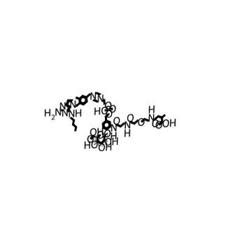 CCCCCNc1nc(N)nc2ccn(Cc3ccc(CN4CCN(CCOP(=O)(O)OCc5ccc(O[C@@H]6O[C@H](C(=O)O)[C@@H](O)[C@H](O)[C@H]6O)c(NC(=O)CCNC(=O)CCOCCNC(=O)CC(C)C(=O)O)c5)CC4)cc3C)c12